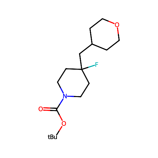 CC(C)(C)OC(=O)N1CCC(F)(CC2CCOCC2)CC1